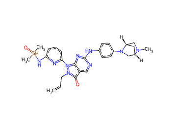 C=CCn1c(=O)c2cnc(Nc3ccc(N4C[C@@H]5C[C@H]4CN5C)cc3)nc2n1-c1cccc(N[SH](C)(C)=O)n1